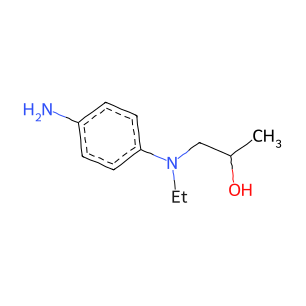 CCN(CC(C)O)c1ccc(N)cc1